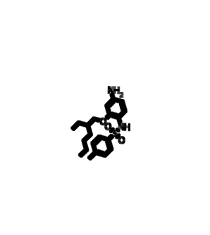 CCCCC(CC)COc1cc(N)ccc1NS(=O)(=O)c1ccc(C)cc1